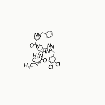 CC1(C)C[C@@H]1C(=O)N1CC2(CN(C(=O)c3cnn(Cc4ccccc4)c3)CC2c2nnc(Cc3ccc(Cl)c(Cl)c3)[nH]2)C1